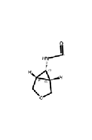 O=[C]N[C@@H]1[C@@H]2COC[C@@H]21